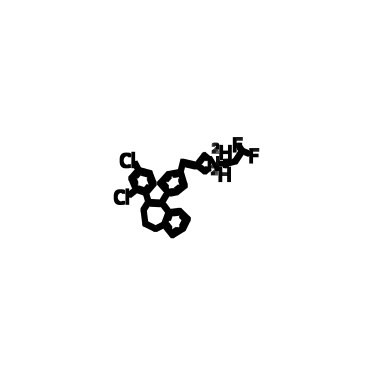 [2H]C([2H])(CC(F)F)N1CC(=Cc2ccc(C3=C(c4ccc(Cl)cc4Cl)CCCc4ccccc43)cc2)C1